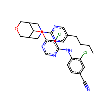 CCCCc1cnc(N2CC3COCC(C2)C3Oc2ncnc(Nc3ccc(C#N)cc3Cl)c2Cl)nc1